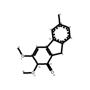 COC1=CC2=C(Cc3ccc(C)cc32)C(=O)C1OC